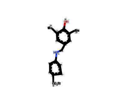 CCOC(=O)c1ccc(NCc2cc(C(C)(C)C)c(O)c(C(C)(C)C)c2)cc1